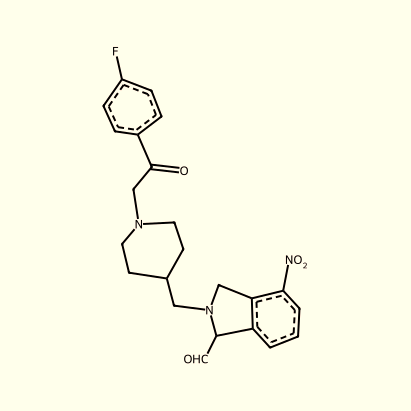 O=CC1c2cccc([N+](=O)[O-])c2CN1CC1CCN(CC(=O)c2ccc(F)cc2)CC1